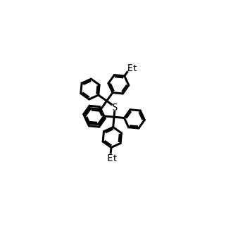 CCc1ccc(C(SC(c2ccccc2)(c2ccccc2)c2ccc(CC)cc2)(c2ccccc2)c2ccccc2)cc1